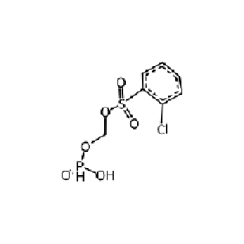 O=[PH](O)OCOS(=O)(=O)c1ccccc1Cl